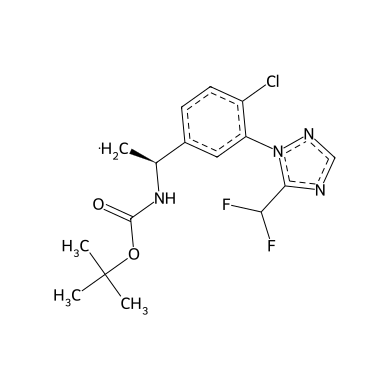 [CH2][C@H](NC(=O)OC(C)(C)C)c1ccc(Cl)c(-n2ncnc2C(F)F)c1